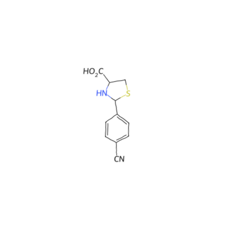 N#Cc1ccc(C2NC(C(=O)O)CS2)cc1